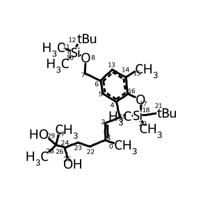 C/C(=C\Cc1cc(CO[Si](C)(C)C(C)(C)C)cc(C)c1O[Si](C)(C)C(C)(C)C)CCC(O)C(C)(C)O